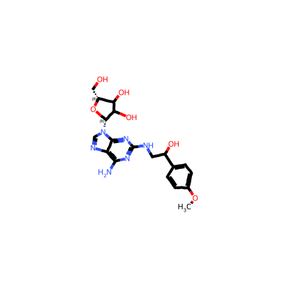 COc1ccc(C(O)CNc2nc(N)c3ncn([C@@H]4O[C@H](CO)C(O)C4O)c3n2)cc1